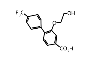 O=C(O)c1ccc(-c2ccc(C(F)(F)F)cc2)c(OCCO)c1